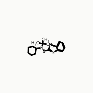 CC(C)(C)N(Sc1nc2ccccc2s1)C1CCCCC1